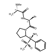 CN[C@@H](C)C(=O)N[C@H](C(=O)N1CCCC1[C@](N)(c1ccccc1)S(C)(=O)=O)C(C)C